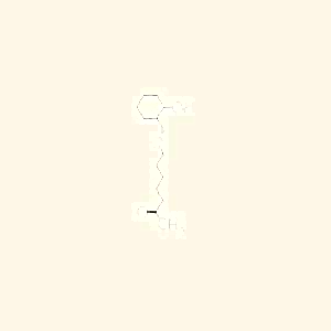 CC(=O)CCCCCOCC1CCCCC1O